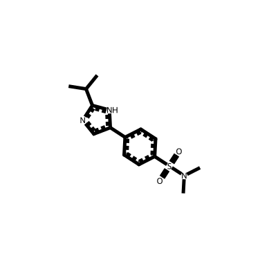 CC(C)c1ncc(-c2ccc(S(=O)(=O)N(C)C)cc2)[nH]1